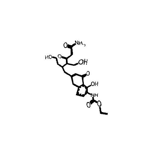 CCOC(=O)Nc1ccc2c(c1O)C(=O)CC(CC(CCO)C(CO)C(=O)CC(N)=O)C2